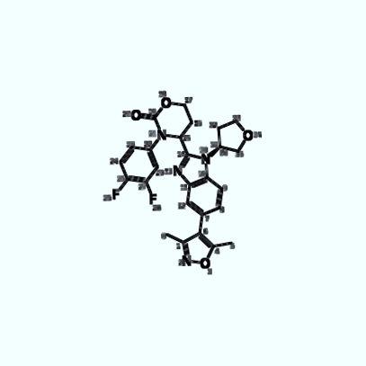 Cc1noc(C)c1-c1ccc2c(c1)nc(C1CCOC(=O)N1c1ccc(F)c(F)c1)n2[C@H]1CCOC1